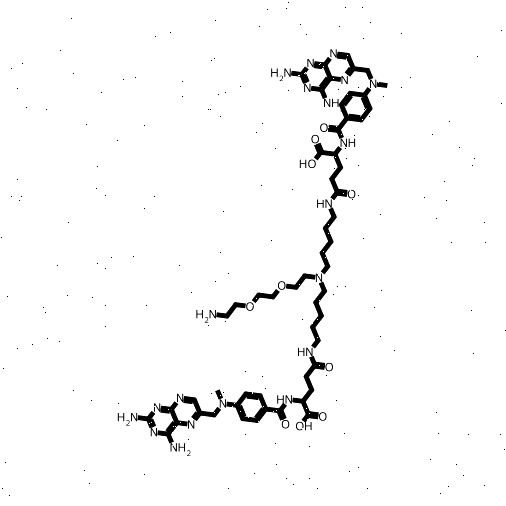 CN(Cc1cnc2nc(N)nc(N)c2n1)c1ccc(C(=O)NC(CCC(=O)NCCCCCN(CCCCCNC(=O)CCC(NC(=O)c2ccc(N(C)Cc3cnc4nc(N)nc(N)c4n3)cc2)C(=O)O)CCOCCOCCN)C(=O)O)cc1